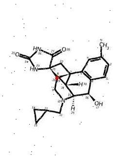 Cc1ccc2c(c1)[C@]13CCN(CC4CC4)[C@H]([C@@H]2O)[C@@H]1CC[C@@]1(C3)NC(=O)NC1=O